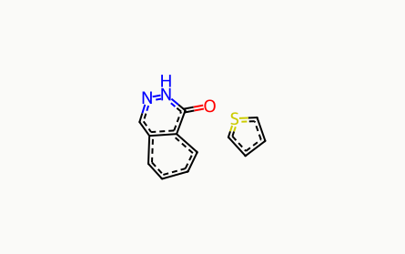 O=c1[nH]ncc2ccccc12.c1ccsc1